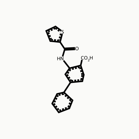 O=C(Nc1cc(-c2ccccc2)ccc1C(=O)O)c1cccs1